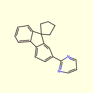 c1cnc(-c2ccc3c(c2)C2(CCCC2)c2ccccc2-3)nc1